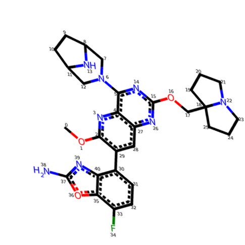 COc1nc2c(N3CC4CCC(C3)N4)nc(OCC34CCCN3CCC4)nc2cc1-c1ccc(F)c2oc(N)nc12